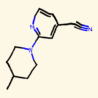 CC1CCN(c2cc(C#N)ccn2)CC1